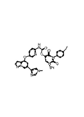 CC(C)n1cc(OC(=O)Nc2ccc(Oc3cc(-c4cn(C)cn4)cn4nccc34)cn2)c(=O)n(-c2ccc(F)cc2)c1=O